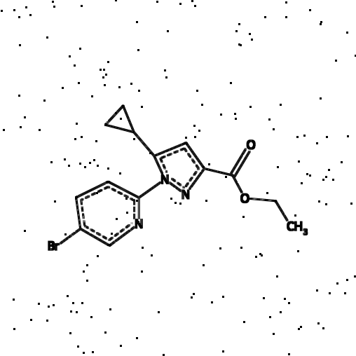 CCOC(=O)c1cc(C2CC2)n(-c2ccc(Br)cn2)n1